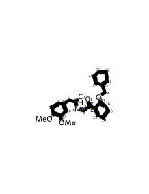 COc1ccc(CC(C)/N=C\C(=O)c2ccccc2OCc2ccccc2)cc1OC